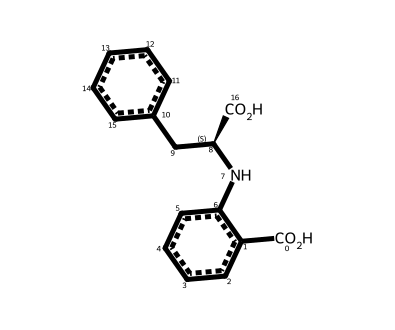 O=C(O)c1ccccc1N[C@@H](Cc1ccccc1)C(=O)O